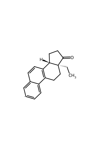 CC[C@]12CCc3c(ccc4c[c]ccc34)[C@@H]1CCC2=O